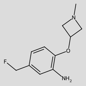 CN1CC(Oc2ccc(CF)cc2N)C1